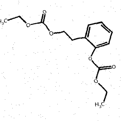 CCOC(=O)OCCc1ccccc1OC(=O)OCC